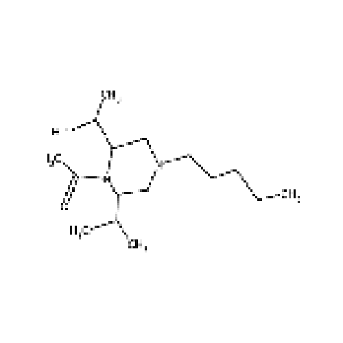 CCCCCN1CC(C(C)C)N(C(C)=O)C(C(C)C)C1